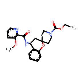 CCOC(=O)N1CCC2(CC1)CC(NC(=O)c1ncccc1OC)c1ccccc1O2